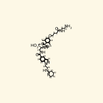 Cc1cc(OCCCC(=O)NCCN)cc(C)c1S(=O)(=O)N[C@@H](CNC(=O)c1ccc2c(cnn2CCNC2=NCCCC2)c1)C(=O)O